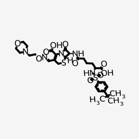 CC(C)(C)c1ccc(S(=O)(=O)NC(CCCC(=O)N[C@@H]2C(=O)N3C(C(=O)O)=C(C=NOCCN4CCOCC4)CS[C@@H]23)C(=O)O)cc1